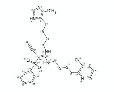 Cc1nc[nH]c1CSCCNC(NCCSCc1ncccc1Cl)=C(C#N)S(=O)(=O)c1ccccc1